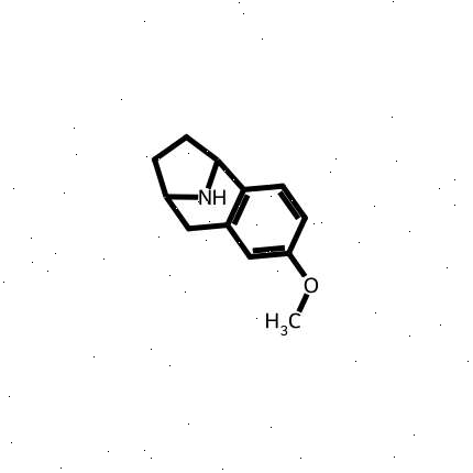 COc1ccc2c(c1)CC1CCC2N1